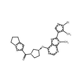 CCn1ncc(-c2nc3c(O[C@H]4CCN(C(=O)c5cc6n(n5)CCC6)C4)ncnc3n2C)c1C